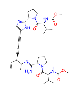 C=C[C@@H](C#CC#Cc1cnc([C@@H]2CCCN2C(=O)[C@@H](NC(=O)OC)C(C)C)[nH]1)C(C)/N=C(\N)[C@@H]1CCCN1C(=O)[C@@H](NC(=O)OC)C(C)C